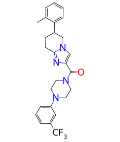 Cc1ccccc1C1CCc2nc(C(=O)N3CCN(c4cccc(C(F)(F)F)c4)CC3)cn2C1